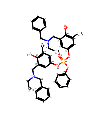 CCN(Cc1ccccc1)Cc1cc(OP(=O)(Oc2ccccc2)Oc2cc(C)c(O)c(CN(CC)Cc3ccccc3)c2)cc(C)c1O